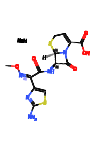 CO/N=C(\C(=O)N[C@@H]1C(=O)N2C(C(=O)O)=CCS[C@H]12)c1csc(N)n1.[NaH]